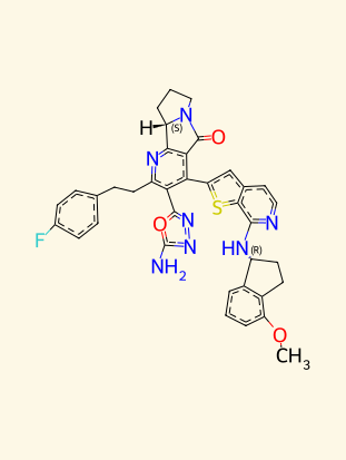 COc1cccc2c1CC[C@H]2Nc1nccc2cc(-c3c4c(nc(CCc5ccc(F)cc5)c3-c3nnc(N)o3)[C@@H]3CCCN3C4=O)sc12